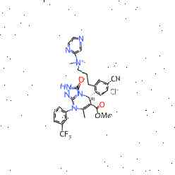 COC(=O)C1=C(C)N(c2cccc(C(F)(F)F)c2)c2n[nH]c(=O)n2[C@@H]1c1ccc(C#N)cc1CCC[N+](C)(C)c1cnccn1.[Cl-]